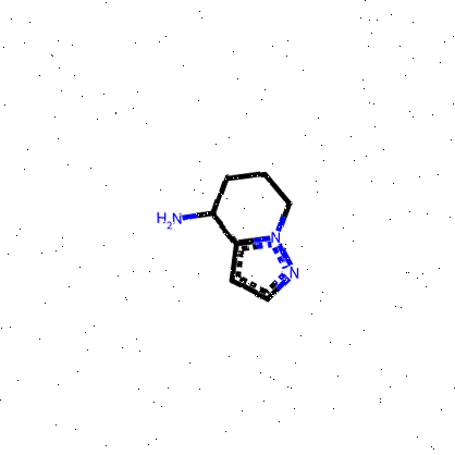 NC1CCCn2nccc21